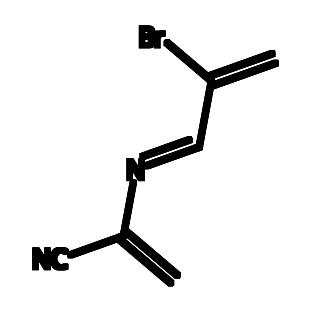 C=C(Br)/C=N/C(=C)C#N